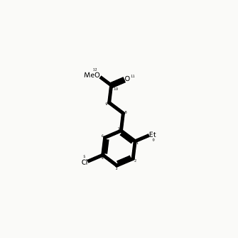 CCc1ccc(Cl)cc1CCC(=O)OC